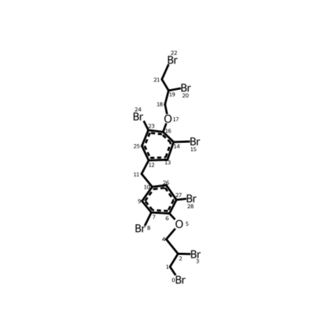 BrCC(Br)COc1c(Br)cc(Cc2cc(Br)c(OCC(Br)CBr)c(Br)c2)cc1Br